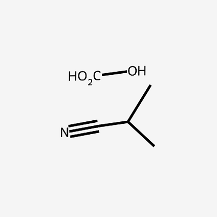 CC(C)C#N.O=C(O)O